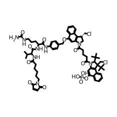 CC(C)C(NC(=O)CCCCCN1C(=O)C=CC1=O)C(=O)NC(CCCNC(N)=O)C(=O)Nc1ccc(COc2cc3c(c4ccccc24)[C@H](CCl)CN3C(=O)CCCC(=O)N2c3cc(OP(=O)(O)O)c4ccccc4c3C(CCl)(C(C)(C)C)C2C(C)(C)C)cc1